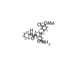 COc1ccc(CN2CCN(C(=O)NC3CCCCC3)CC2CC(N)=O)cc1Cl